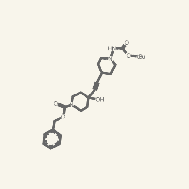 CC(C)(C)OC(=O)NN1CCC(C#CC2(O)CCN(C(=O)OCc3ccccc3)CC2)CC1